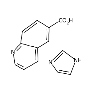 O=C(O)c1ccc2ncccc2c1.c1c[nH]cn1